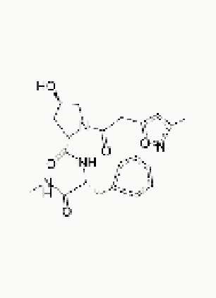 CNC(=O)[C@@H](Cc1ccccc1)NC(=O)[C@@H]1C[C@@H](O)CN1C(=O)Cc1cc(C)no1